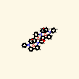 c1ccc(N(c2ccccc2)c2cccc3c2oc2c(N(c4ccccc4)c4cccc5c4oc4c(N(c6ccccc6)c6cccc7c6oc6c(N(c8ccccc8)c8ccccc8)cccc67)cccc45)cccc23)cc1